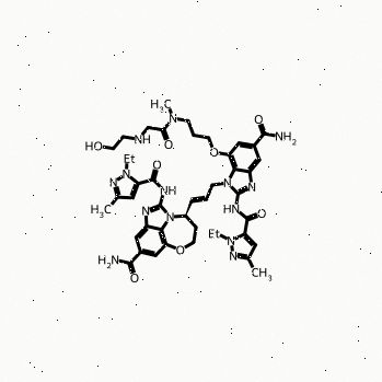 CCn1nc(C)cc1C(=O)Nc1nc2cc(C(N)=O)cc(OCCCN(C)C(=O)CNCCO)c2n1C/C=C/[C@H]1CCOc2cc(C(N)=O)cc3nc(NC(=O)c4cc(C)nn4CC)n1c23